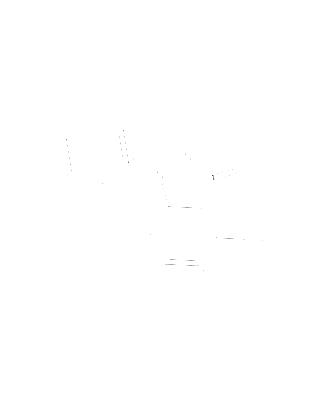 O=c1[nH]n(-c2ccccc2)c2cc(Br)cc(F)c12